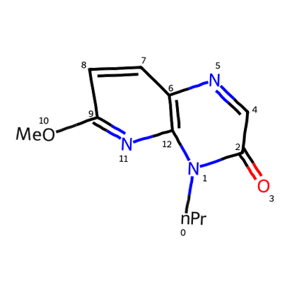 CCCn1c(=O)cnc2ccc(OC)nc21